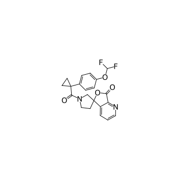 O=C1OC2(CCN(C(=O)C3(c4ccc(OC(F)F)cc4)CC3)C2)c2cccnc21